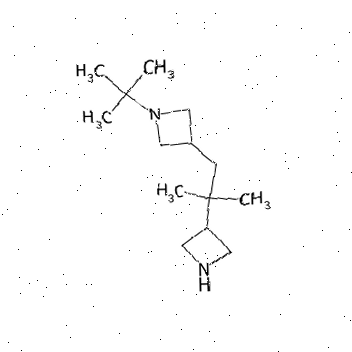 CC(C)(CC1CN(C(C)(C)C)C1)C1CNC1